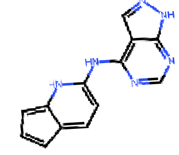 c1cc2ccc(Nc3ncnc4[nH]ncc34)[nH]c-2c1